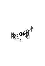 Nc1ncncc1OCC1CCN(c2nc(Cl)nc(OCC3CC3(F)F)n2)CC1